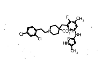 Cc1cc(Nc2cc(C)c(F)c(CC3(C(=O)O)CCN(CCc4ccc(Cl)cc4Cl)CC3)n2)n[nH]1